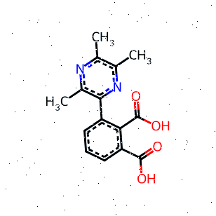 Cc1nc(C)c(-c2cccc(C(=O)O)c2C(=O)O)nc1C